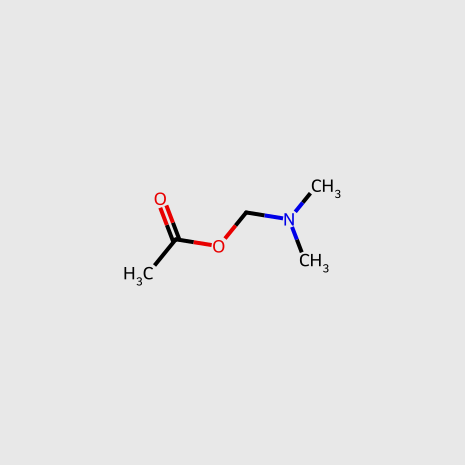 CC(=O)OCN(C)C